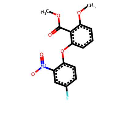 COC(=O)c1c(OC)cccc1Oc1ccc(F)cc1[N+](=O)[O-]